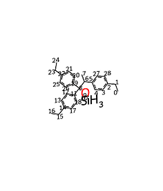 CCc1ccc(C(C)C(O[SiH3])(c2ccc(CC)cc2)c2ccc(CC)cc2)cc1